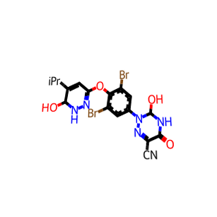 CC(C)C1=CC(Oc2c(Br)cc(N3N=C(C#N)C(=O)NC3O)cc2Br)=NNC1O